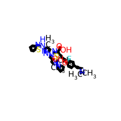 CCN(C(C)CC(O)CN(c1cc(C)c(Nc2nc3ccccc3s2)nn1)c1nc(C(=O)O)c(CCCOc2ccc(C#CCN(C)C)cc2F)s1)N1CCCCC1